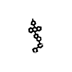 Cc1ccc(-c2c3ccccc3c(-c3ccc4c(c3)CCC(c3cc(-c5cccnc5)ccn3)=C4)c3ccccc23)cc1